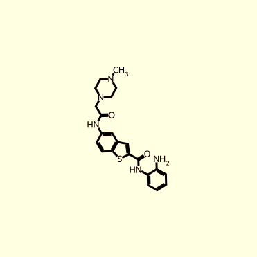 CN1CCN(CC(=O)Nc2ccc3sc(C(=O)Nc4ccccc4N)cc3c2)CC1